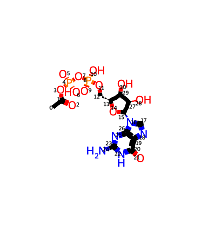 CC(=O)OP(=O)(O)OP(=O)(O)OC[C@H]1O[C@@H](n2cnc3c(=O)[nH]c(N)nc32)[C@@H](O)C1O